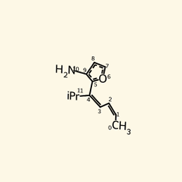 C/C=C\C=C(/c1occc1N)C(C)C